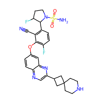 N#Cc1c(C2C(F)CCN2S(N)(=O)=O)ccc(F)c1Oc1ccc2ncc(C3CC4(CCNCC4)C3)nc2c1